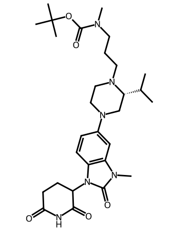 CC(C)[C@@H]1CN(c2ccc3c(c2)n(C)c(=O)n3C2CCC(=O)NC2=O)CCN1CCCN(C)C(=O)OC(C)(C)C